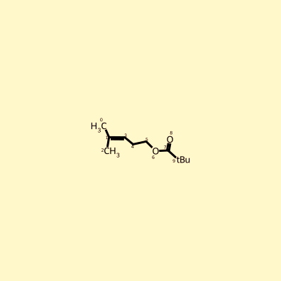 CC(C)=CCCOC(=O)C(C)(C)C